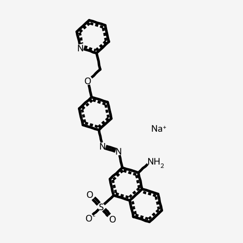 Nc1c(N=Nc2ccc(OCc3ccccn3)cc2)cc(S(=O)(=O)[O-])c2ccccc12.[Na+]